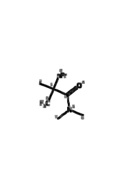 CCCC(C)(C(=O)N(C)C)C(F)(F)F